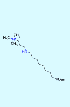 CCCCCCCCCCCCCCCCCCNCCC[N+](C)(C)C